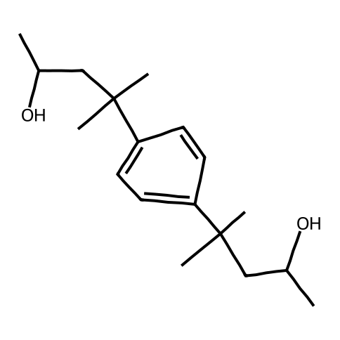 CC(O)CC(C)(C)c1ccc(C(C)(C)CC(C)O)cc1